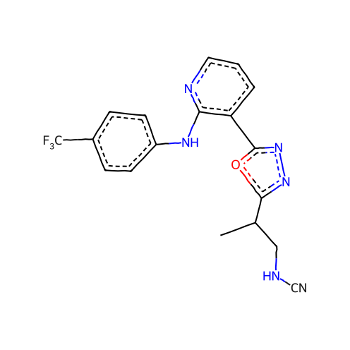 CC(CNC#N)c1nnc(-c2cccnc2Nc2ccc(C(F)(F)F)cc2)o1